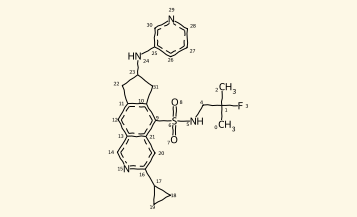 CC(C)(F)CNS(=O)(=O)c1c2c(cc3cnc(C4CC4)cc13)CC(Nc1cccnc1)C2